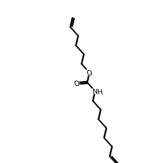 C=CCCCCCCNC(=O)OCCCCC=C